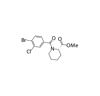 COC(=O)[C@@H]1CCCCN1C(=O)c1ccc(Br)c(Cl)c1